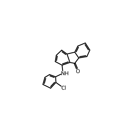 O=C1c2ccccc2-c2cccc(Nc3ccccc3Cl)c21